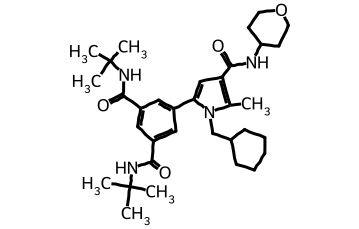 Cc1c(C(=O)NC2CCOCC2)cc(-c2cc(C(=O)NC(C)(C)C)cc(C(=O)NC(C)(C)C)c2)n1CC1CCCCC1